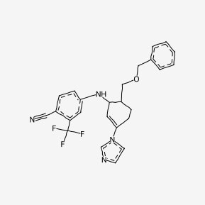 N#Cc1ccc(NC2C=C(n3ccnc3)CCC2COCc2ccccc2)cc1C(F)(F)F